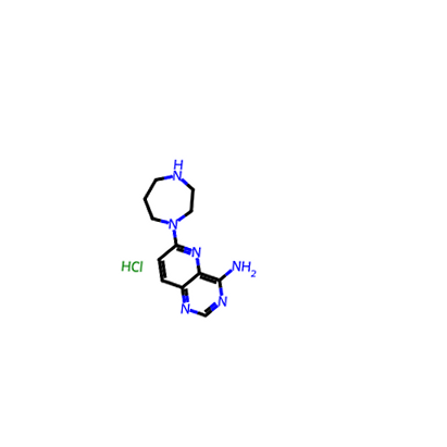 Cl.Nc1ncnc2ccc(N3CCCNCC3)nc12